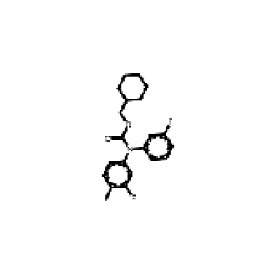 Cc1ccc(N(C(=O)OCC2CCCCC2)c2cccc(F)c2)cc1F